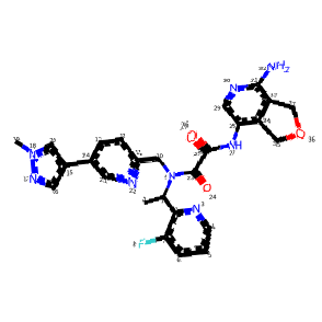 CC(c1ncccc1F)N(Cc1ccc(-c2cnn(C)c2)cn1)C(=O)C(=O)Nc1cnc(N)c2c1COC2